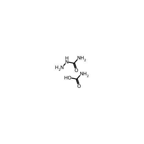 NC(=O)O.NNC(N)=O